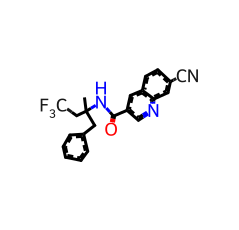 CC(Cc1ccccc1)(CC(F)(F)F)NC(=O)c1cnc2cc(C#N)ccc2c1